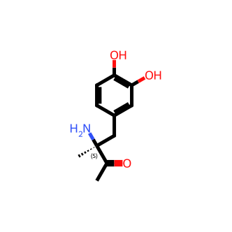 CC(=O)[C@@](C)(N)Cc1ccc(O)c(O)c1